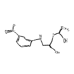 CC(O)OC(O)CNc1cccc([N+](=O)[O-])c1